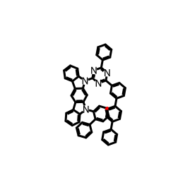 c1ccc(-c2ccc(-c3cccc(-c4nc(-c5ccccc5)nc(-n5c6ccccc6c6cc7c8ccccc8n(-c8ccccc8-c8ccccc8)c7cc65)n4)c3)cc2)cc1